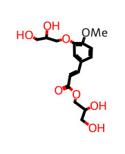 COc1ccc(C=CC(=O)OCC(O)CO)cc1OCC(O)CO